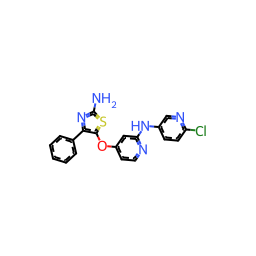 Nc1nc(-c2ccccc2)c(Oc2ccnc(Nc3ccc(Cl)nc3)c2)s1